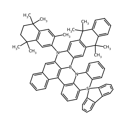 Cc1cc2c(cc1N1c3cc4c(cc3B3c5c1cc1ccccc1c5-c1cccc5c1N3c1ccccc1[Si]51c3ccccc3-c3ccccc31)C(C)(C)c1ccccc1C4(C)C)C(C)(C)CCC2(C)C